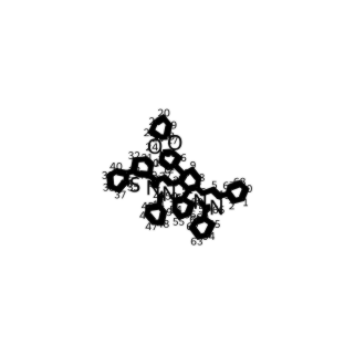 c1ccc(-c2cc(-c3ccc(-c4ccc5c(c4)Oc4ccccc4O5)c(-c4cc(-c5cccc6c5sc5ccccc56)nc(-c5ccccc5)n4)c3-c3ccccc3)nc(-c3ccccc3)n2)cc1